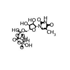 Cc1cn([C@@H]2O[C@H](COP(=O)(O)OP(=O)(O)OP(=O)(O)O)[C@@H](O)[C@H]2O)c(=O)[nH]c1=O